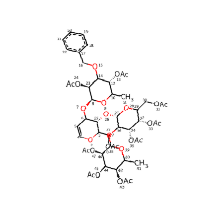 CC(=O)OCC1OC=CC(O[C@@H]2OC(C)[C@@H](OC(C)=O)C(OCc3ccccc3)[C@@H]2OC(C)=O)[C@@H]1O[C@@H]1OC(COC(C)=O)[C@H](OC(C)=O)[C@H](OC(C)=O)C1OC1OC(C)[C@@H](OC(C)=O)C(OC(C)=O)[C@H]1OC(C)=O